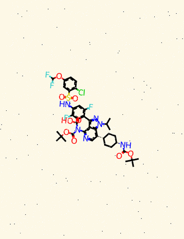 CC(C)n1nc(-c2cc(F)c(NS(=O)(=O)c3cc(OC(F)F)ccc3Cl)cc2F)c2c(N(C(=O)O)C(=O)OC(C)(C)C)ncc([C@H]3CC[C@@H](NC(=O)OC(C)(C)C)CC3)c21